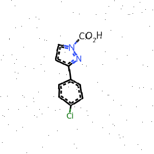 O=C(O)n1ccc(-c2ccc(Cl)cc2)n1